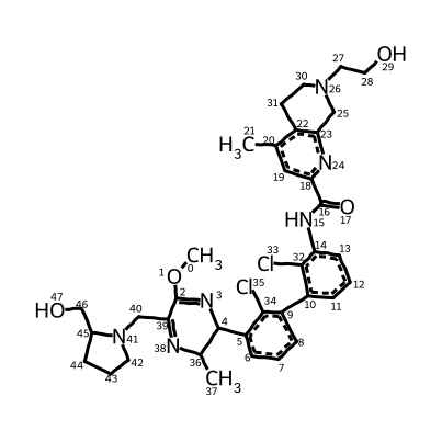 COC1=NC(c2cccc(-c3cccc(NC(=O)c4cc(C)c5c(n4)CN(CCO)CC5)c3Cl)c2Cl)C(C)N=C1CN1CCCC1CO